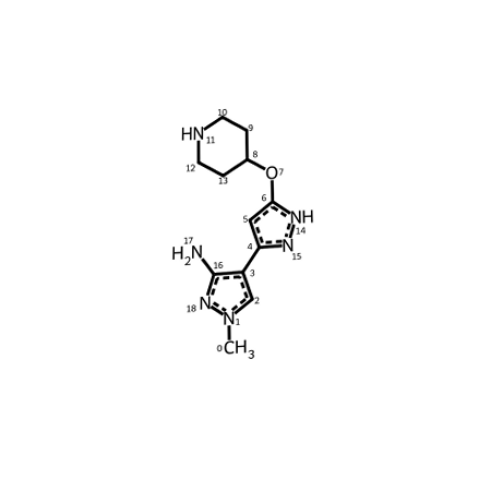 Cn1cc(-c2cc(OC3CCNCC3)[nH]n2)c(N)n1